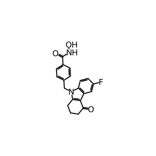 O=C(NO)c1ccc(Cn2c3c(c4cc(F)ccc42)C(=O)CCC3)cc1